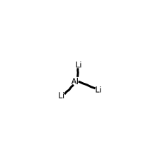 [Li][Al]([Li])[Li]